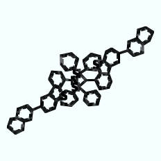 c1ccc([Si]2(c3ccccc3)C(c3cccc4c3sc3ccc(-c5ccc6ccccc6c5)cc34)[Si](c3ccccc3)(c3ccccc3)N2c2cccc3c2sc2ccc(-c4ccc5ccccc5c4)cc23)cc1